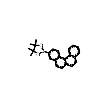 CC1(C)OB(c2ccc3c(ccc4ccc5ccccc5c43)c2)OC1(C)C